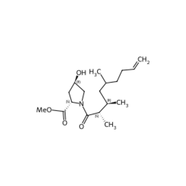 C=CCCC(C)C[C@@H](C)[C@H](C)C(=O)N1C[C@H](O)C[C@H]1C(=O)OC